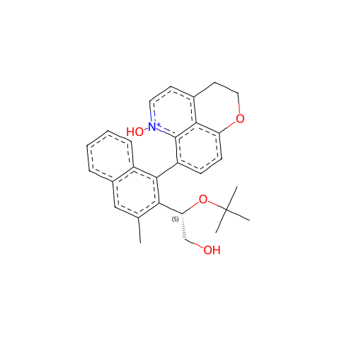 Cc1cc2ccccc2c(-c2ccc3c4c(cc[n+](O)c24)CCO3)c1[C@@H](CO)OC(C)(C)C